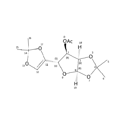 CC(=O)O[C@H]1[C@H]2OC(C)(C)O[C@H]2O[C@@H]1C1=COC(C)(C)O1